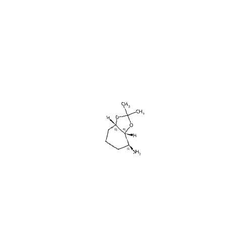 CC1(C)O[C@H]2[C@H](CCC[C@@H]2N)O1